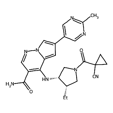 CC[C@H]1CN(C(=O)C2(C#N)CC2)C[C@H]1Nc1c(C(N)=O)cnn2cc(-c3cnc(C)nc3)cc12